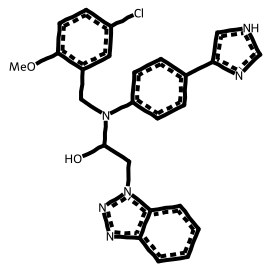 COc1ccc(Cl)cc1CN(c1ccc(-c2c[nH]cn2)cc1)C(O)Cn1nnc2ccccc21